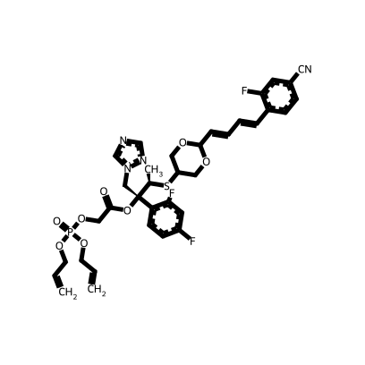 C=CCOP(=O)(OCC=C)OCC(=O)O[C@@](Cn1cncn1)(c1ccc(F)cc1F)[C@@H](C)SC1COC(C=CC=Cc2ccc(C#N)cc2F)OC1